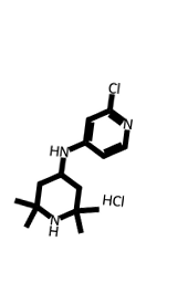 CC1(C)CC(Nc2ccnc(Cl)c2)CC(C)(C)N1.Cl